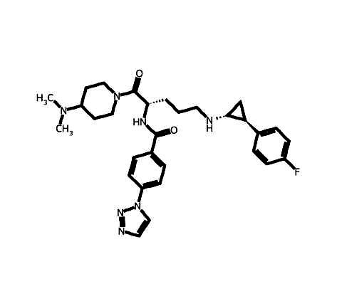 CN(C)C1CCN(C(=O)[C@H](CCCN[C@@H]2C[C@H]2c2ccc(F)cc2)NC(=O)c2ccc(-n3ccnn3)cc2)CC1